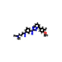 CCCOc1ccc(-c2cccc3nc(Nc4cccc(NCCCN(CC)CC)c4)nn23)cc1C